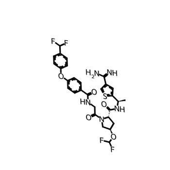 C[C@@H](NC(=O)[C@@H]1C[C@@H](OC(F)F)CN1C(=O)CNC(=O)c1ccc(Oc2ccc(C(F)F)cc2)cc1)c1cc(C(=N)N)cs1